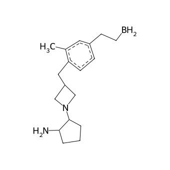 BCCc1ccc(CC2CN(C3CCCC3N)C2)c(C)c1